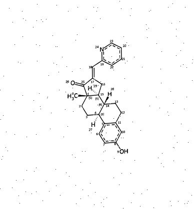 C[C@]12CC[C@@H]3c4ccc(O)cc4CC[C@H]3[C@@H]1CC(=Cc1ccccn1)C2=O